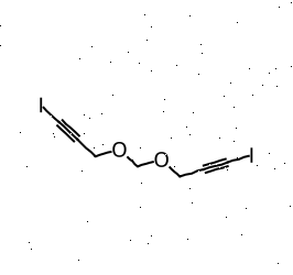 IC#CCOCOCC#CI